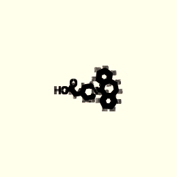 O=C(O)CC1CCN(C2c3ccccc3CCc3ccccc32)CC1